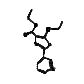 CCOC(=O)c1nc(-c2cccnc2)oc1OCC